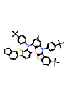 Cc1cc2c3c(c1)N(c1ccc(C(C)(C)C)cc1)c1c(ccc4c1sc1c5c(ccc14)CCC5)B3c1sc3ccc(C(C)(C)C)cc3c1N2c1ccc(C(C)(C)C)cc1